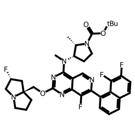 C[C@H]1[C@@H](N(C)c2nc(OC[C@@]34CCCN3C[C@H](F)C4)nc3c(F)c(-c4cccc5ccc(F)c(F)c45)ncc23)CCN1C(=O)OC(C)(C)C